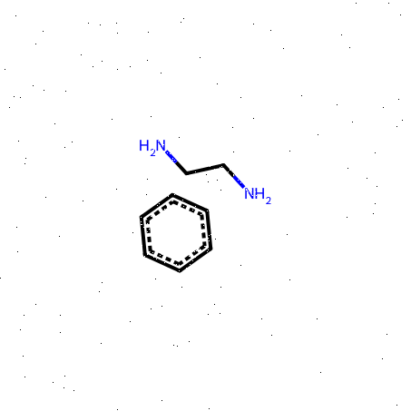 NCCN.c1ccccc1